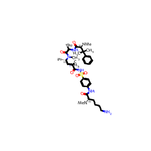 CN[C@@H](CCCCN)C(=O)Nc1ccc(S(=O)(=O)NC(=O)/C(C)=C/[C@H](C(C)C)N(C)C(=O)C(NC(=O)[C@@H](NC)C(C)(C)c2ccccc2)C(C)(C)C)cc1